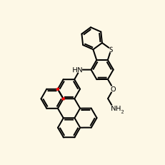 NCOc1cc(Nc2cccc(-c3cccc4cccc(-c5ccccc5)c34)c2)c2c(c1)sc1ccccc12